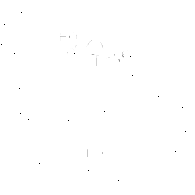 CCCCCCCCCCCC[N+](C)(C)Cc1ccc(C(=O)O)cc1